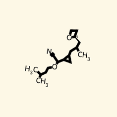 CC(C)CCOC(C#N)C1CC1CC(C)C[C@@H]1CCO1